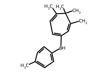 CC1=CC=C(Bc2ccc(C)cc2)C=C(C)C1(C)C